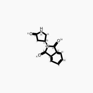 O=C1C[C@H](N2C(=O)c3ccccc3C2=O)CN1